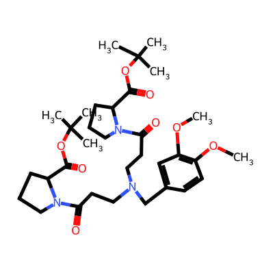 COc1ccc(CN(CCC(=O)N2CCCC2C(=O)OC(C)(C)C)CCC(=O)N2CCCC2C(=O)OC(C)(C)C)cc1OC